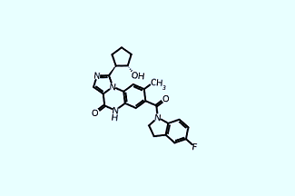 Cc1cc2c(cc1C(=O)N1CCc3cc(F)ccc31)[nH]c(=O)c1cnc([C@H]3CCC[C@@H]3O)n12